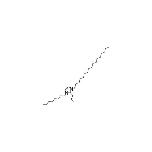 CCCCCCCCCCCCCCCCC[n+]1ccn(CCCCCCCC)c1CCC